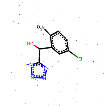 O=[N+]([O-])c1ccc(Cl)cc1C(O)c1nnn[nH]1